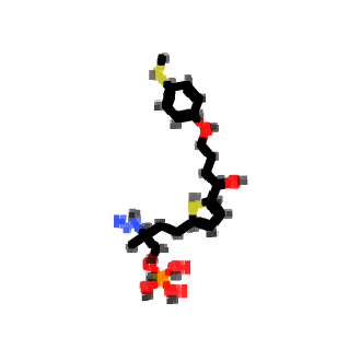 CSc1ccc(OCCCC(=O)c2ccc(CCC(C)(N)COP(=O)(O)O)s2)cc1